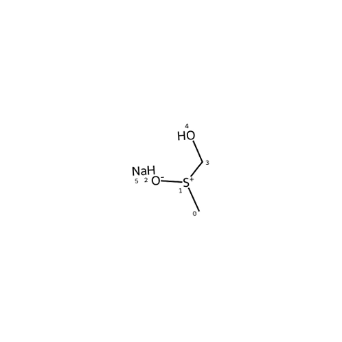 C[S+]([O-])CO.[NaH]